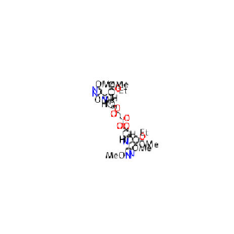 CCOc1cc2c(cc1OC)C(c1cc(OC)nnc1OC)=N[C@@H]1CC[C@@H](OC(=O)CCC(=O)C(=O)O[C@@H]3CC[C@H]4N=C(c5cc(OC)nnc5OC)c5cc(OC)c(OCC)cc5[C@H]4C3)C[C@H]21